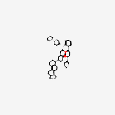 c1ccc(-c2ccc(-c3ccccc3N(c3ccc(-c4ccccc4)cc3)c3ccc4ccc(-c5cccc6c5ccc5c7ccccc7ccc65)cc4c3)cc2)cc1